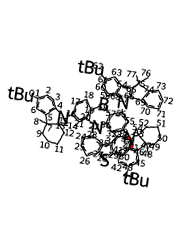 CC(C)(C)c1ccc2c(c1)C1(C)CCCCC1(C)N2c1ccc2c(c1)N(c1cccc3sc4ccccc4c13)c1cc(N3c4ccc(C(C)(C)C)cc4C4(C)CCCCC34C)cc3c1B2c1cc(C(C)(C)C)cc2c4c(n-3c12)-c1ccccc1C4(C)C